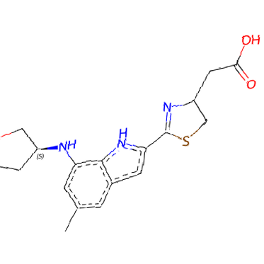 Cc1cc(N[C@H]2CCOC2)c2[nH]c(C3=NC(CC(=O)O)CS3)cc2c1